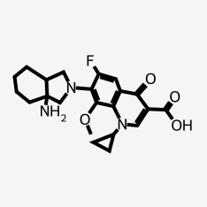 COc1c(N2CC3CCCCC3(N)C2)c(F)cc2c(=O)c(C(=O)O)cn(C3CC3)c12